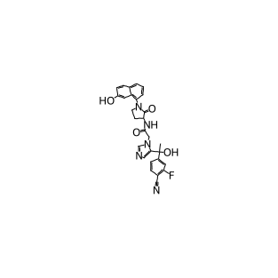 CC(O)(c1ccc(C#N)c(F)c1)c1cncn1CC(=O)NC1CCN(c2cccc3ccc(O)cc23)C1=O